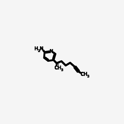 CC#CCCC[C@H](C)c1ccc(N)nc1